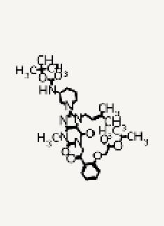 CC(C)=CCn1c(N2CCCC(NC(=O)OC(C)(C)C)C2)nc2c1c(=O)n(CC(=O)c1ccccc1OCC(=O)OC(C)C)c(=O)n2C